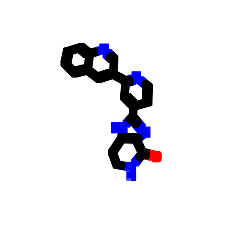 O=C1NCCc2[nH]c(-c3ccnc(-c4cnc5ccccc5c4)c3)nc21